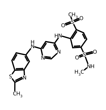 CNS(=O)(=O)c1ccc(S(C)(=O)=O)c(Nc2cc(Nc3ccc4sc(C)nc4c3)ncn2)c1